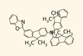 CC1(C)c2ccccc2-c2ccc(N(c3ccc4c(c3)C(C)(C)c3ccc(-c5nc6ccccc6o5)cc3-4)c3cccc4c3C(C)(C)c3ccccc3-4)cc21